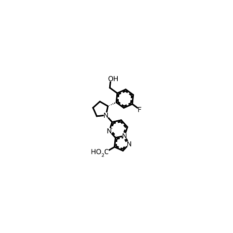 O=C(O)c1cnn2ccc(N3CCC[C@@H]3c3cc(F)ccc3CO)nc12